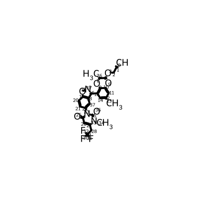 C#CCOC(=O)C(C)Oc1ccc(C)cc1-c1noc2ccc(-n3c(=O)cc(CC(F)(F)F)n(C)c3=O)cc12